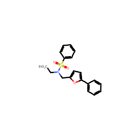 CCOC(=O)CN(Cc1ccc(-c2ccccc2)o1)S(=O)(=O)c1ccccc1